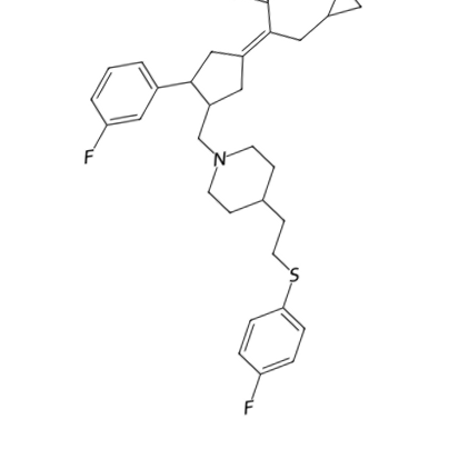 O=C(O)/C(CC1CC1)=C1/CC(CN2CCC(CCSc3ccc(F)cc3)CC2)C(c2cccc(F)c2)C1